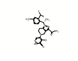 Cc1ccc([C@H](C)n2nc(C(N)=O)c3c2CCN(c2cn[nH]c(=O)c2Cl)C3)c(C(F)F)c1